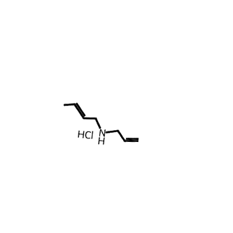 C=CCNCC=CC.Cl